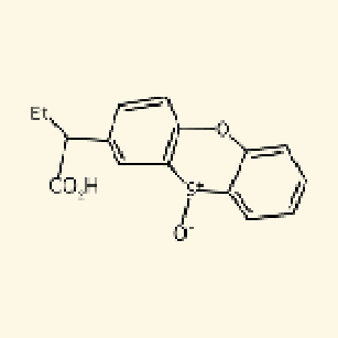 CCC(C(=O)O)c1ccc2c(c1)[S+]([O-])c1ccccc1O2